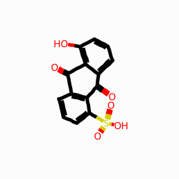 O=C1c2cccc(S(=O)(=O)O)c2C(=O)c2cccc(O)c21